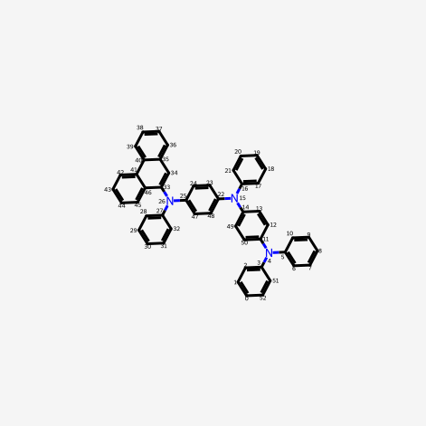 c1ccc(N(c2ccccc2)c2ccc(N(c3ccccc3)c3ccc(N(c4ccccc4)c4cc5ccccc5c5ccccc45)cc3)cc2)cc1